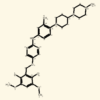 COc1cc(OC)c(Cl)c(COc2cnc(Nc3ccc(N4CCC(N5CCN(C)CC5)CC4)c(C)c3)nc2)c1Cl